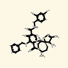 CC1=NO[C@]2(CC[C@H](C)N3C[C@H]2n2cc(C(=O)NCc4ccc(F)cc4F)c(=O)c(OCc4ccccc4)c2C3=O)C1C